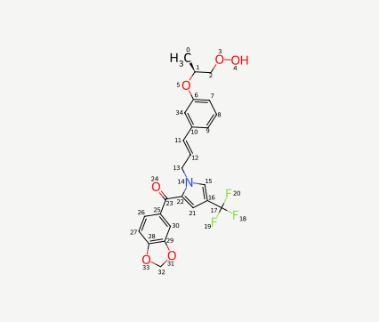 C[C@@H](COO)Oc1cccc(/C=C/Cn2cc(C(F)(F)F)cc2C(=O)c2ccc3c(c2)OCO3)c1